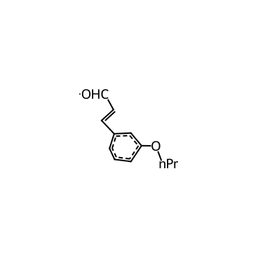 CCCOc1cccc(C=C[C]=O)c1